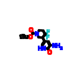 CC(C)(C)OC(=O)N1CCC(F)(F)C(c2c[nH]c(=O)c(N)c2)C1